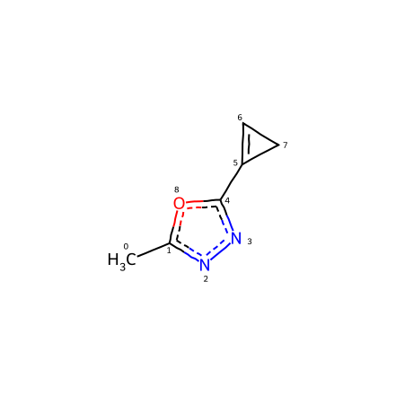 Cc1nnc(C2=CC2)o1